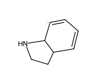 [C]1=CC=CC2CCNC12